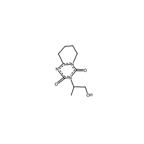 CC(CO)n1c(=O)nc2n(c1=O)CCCC2